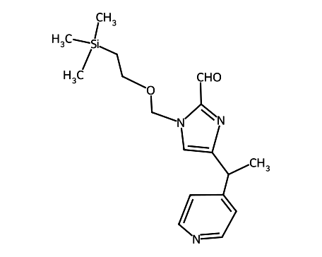 CC(c1ccncc1)c1cn(COCC[Si](C)(C)C)c(C=O)n1